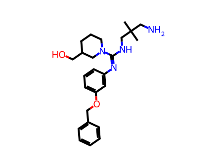 CC(C)(CN)CN/C(=N/c1cccc(OCc2ccccc2)c1)N1CCCC(CO)C1